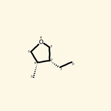 CC[C@H]1COC[C@H]1C